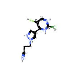 N#CCCn1cc(-c2nc(Cl)ncc2F)cn1